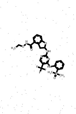 CCONC(=O)c1cccc2c1CC(Nc1ncc(C(F)(F)F)c(Nc3ccccc3P(C)(C)=O)n1)O2